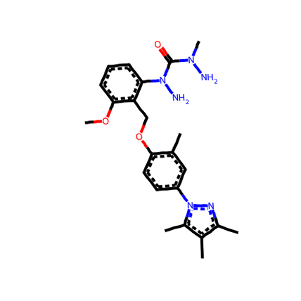 COc1cccc(N(N)C(=O)N(C)N)c1COc1ccc(-n2nc(C)c(C)c2C)cc1C